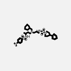 CC(CCN(CCCNS(=O)(=O)N1CCC(c2ccccc2)CC1)CC1CCCCC1)NS(=O)(=O)c1ccc(N(C)C)cc1